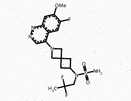 COc1cc2nncc(N3CC4(CC(N(CC(C)(F)F)S(N)(=O)=O)C4)C3)c2cc1F